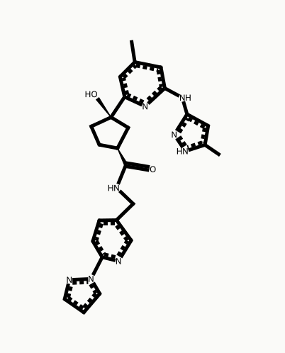 Cc1cc(Nc2cc(C)[nH]n2)nc([C@@]2(O)CC[C@H](C(=O)NCc3ccc(-n4cccn4)nc3)C2)c1